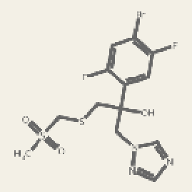 CS(=O)(=O)CSCC(O)(Cn1cncn1)c1cc(F)c(Br)cc1F